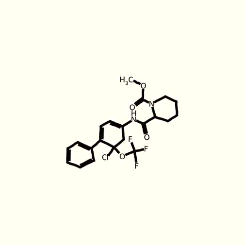 COC(=O)N1CCCCC1C(=O)NC1=CC=C(c2ccccc2)C(Cl)(OC(F)(F)F)C1